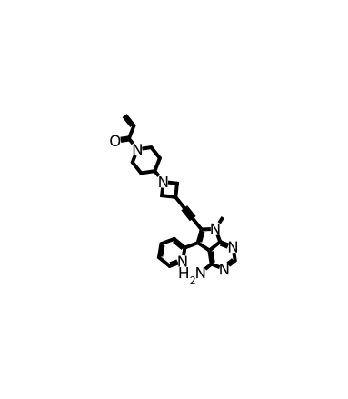 C=CC(=O)N1CCC(N2CC(C#Cc3c(-c4ccccn4)c4c(N)ncnc4n3C)C2)CC1